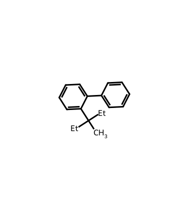 CCC(C)(CC)c1ccccc1-c1ccccc1